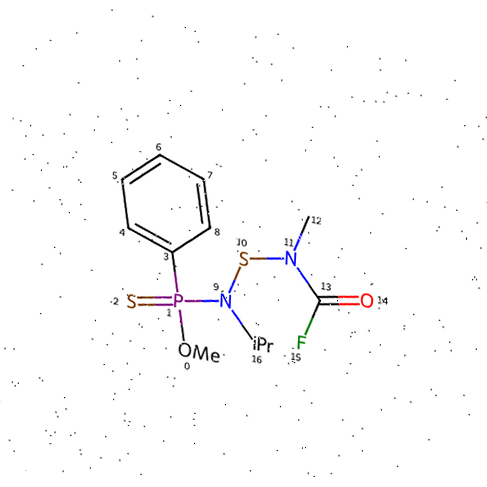 COP(=S)(c1ccccc1)N(SN(C)C(=O)F)C(C)C